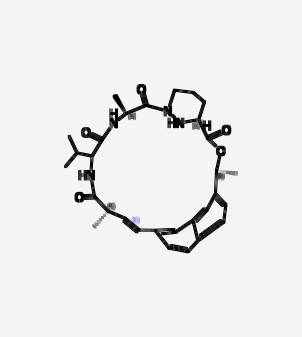 CC(C)C1NC(=O)[C@@H](C)/C=C/c2ccc3ccc(cc3c2)[C@@H](C)OC(=O)[C@@H]2CCCN(N2)C(=O)[C@H](C)NC1=O